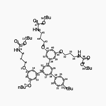 CCCCOc1cc(OCCCNC(=O)OC(C)(C)C)cc(-c2cc(-c3ccc(C(C)(C)C)cc3)cc(-c3cc(OCCCNC(=O)OC(C)(C)C)cc(OCCCNC(=O)OC(C)(C)C)c3)c2)c1